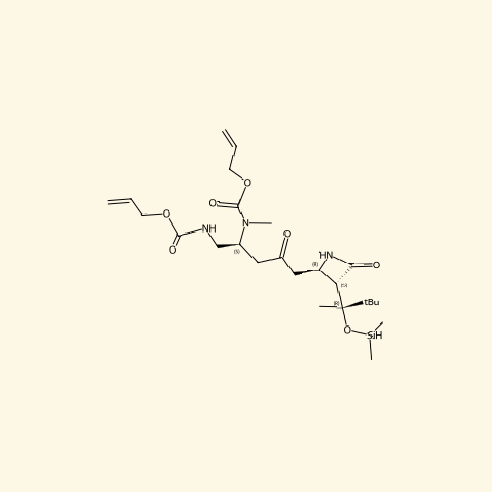 C=CCOC(=O)NC[C@H](CC(=O)C[C@H]1NC(=O)[C@@H]1[C@@](C)(O[SiH](C)C)C(C)(C)C)N(C)C(=O)OCC=C